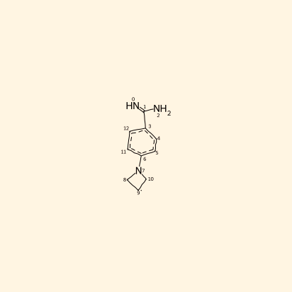 N=C(N)c1ccc(N2C[CH]C2)cc1